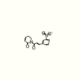 O=C1C=CCCN1C(=O)C=Cc1cccc([N+](=O)[O-])c1